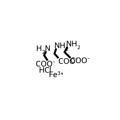 Cl.NCC(=O)[O-].NCC(=O)[O-].NCC(=O)[O-].[Fe+3]